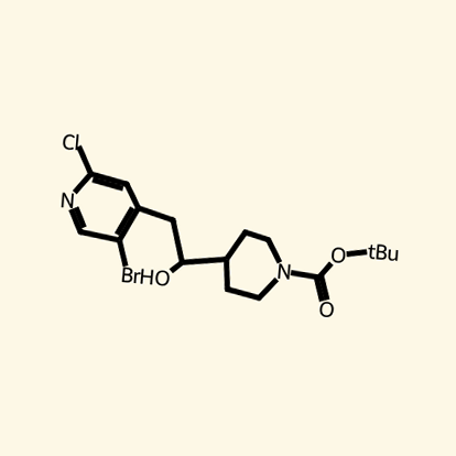 CC(C)(C)OC(=O)N1CCC(C(O)Cc2cc(Cl)ncc2Br)CC1